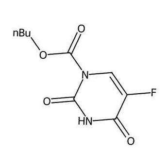 CCCCOC(=O)n1cc(F)c(=O)[nH]c1=O